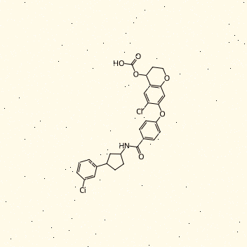 O=C(O)OC1CCOc2cc(Oc3ccc(C(=O)NC4CCC(c5cccc(Cl)c5)C4)cc3)c(Cl)cc21